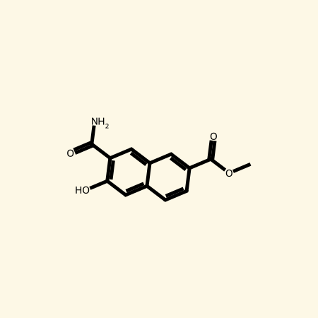 COC(=O)c1ccc2cc(O)c(C(N)=O)cc2c1